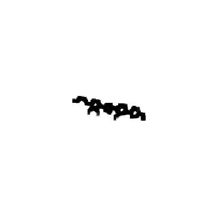 C=CC1CCC(c2ccc(-c3ccc(-c4ccc(C/C=C\CC)c(F)c4F)cc3)c(F)c2)CO1